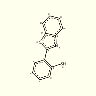 Sc1ccccc1-c1nc2ccccc2s1